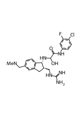 CNCc1ccc2c(c1)C[C@H](CNC(=N)N)[C@H]2NC(O)C(=O)Nc1ccc(Cl)c(F)c1